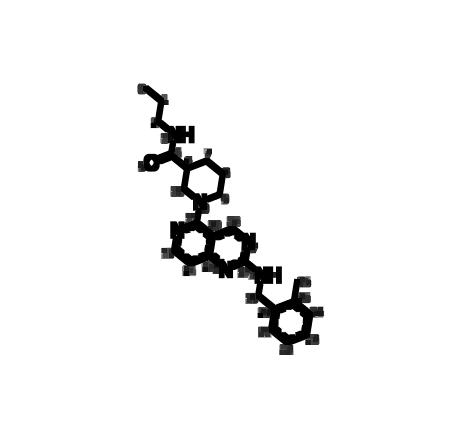 CCCNC(=O)C1CCCN(c2nccc3nc(NCc4ccccc4C)ncc23)C1